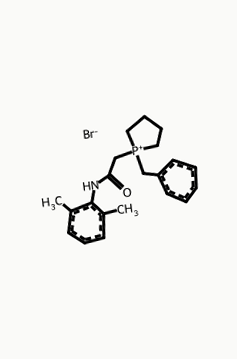 Cc1cccc(C)c1NC(=O)C[P+]1(Cc2ccccc2)CCCC1.[Br-]